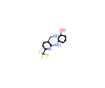 Oc1cccc2c1NCc1ccc(C(F)(F)F)nc1N2